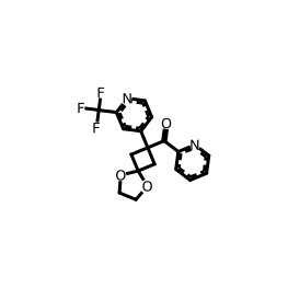 O=C(c1ccccn1)C1(c2ccnc(C(F)(F)F)c2)CC2(C1)OCCO2